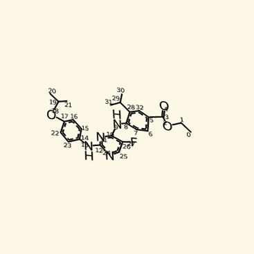 CCOC(=O)c1ccc(Nc2nc(Nc3ccc(OC(C)C)cc3)ncc2F)c(C(C)C)c1